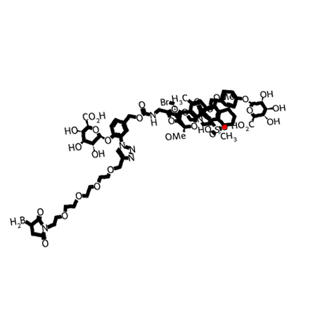 BC1CC(=O)N(CCOCCOCCOCCOCc2cn(-c3cc(COC(=O)NCC45OC6c7c(C)cc8c(OC)c9c(c(O)c8c7O[C@](OC)(C6O4)[C@]5(CBr)OCN(CCS(C)(=O)=O)C(=O)OCc4ccc(O[C@@H]5O[C@H](C(=O)O)[C@@H](O)[C@H](O)[C@H]5O)cc4)CCCC9)ccc3O[C@@H]3O[C@H](C(=O)O)[C@@H](O)[C@H](O)[C@H]3O)nn2)C1=O